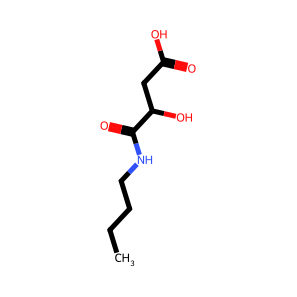 CCCCNC(=O)C(O)CC(=O)O